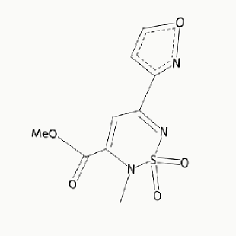 COC(=O)C1=CC(c2ccon2)=NS(=O)(=O)N1C